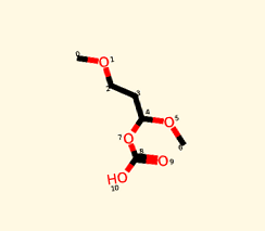 COCCC(OC)OC(=O)O